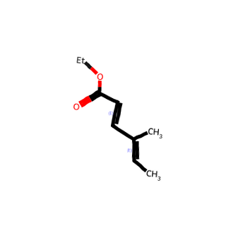 C/C=C(C)/C=C/C(=O)OCC